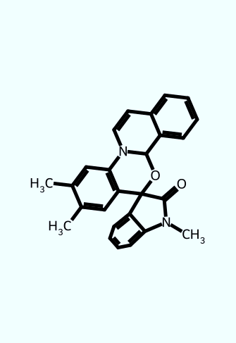 Cc1cc2c(cc1C)C1(OC3c4ccccc4C=CN23)C(=O)N(C)c2ccccc21